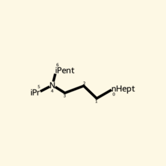 CCCCCCCCCCN(C(C)C)C(C)CCC